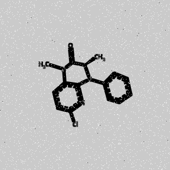 C[C@@H]1C(=O)N(C)c2ccc(Cl)nc2N1c1ccccc1